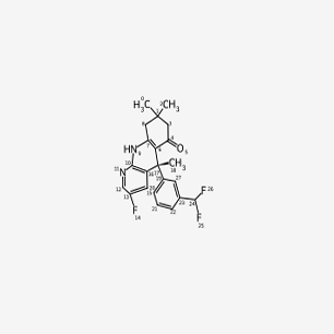 CC1(C)CC(=O)C2=C(C1)Nc1ncc(F)cc1[C@@]2(C)c1cccc(C(F)F)c1